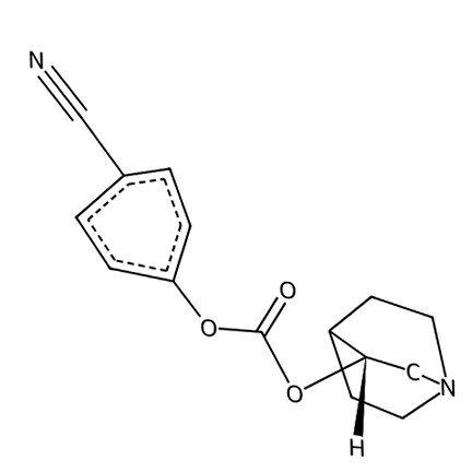 N#Cc1ccc(OC(=O)O[C@H]2CN3CCC2CC3)cc1